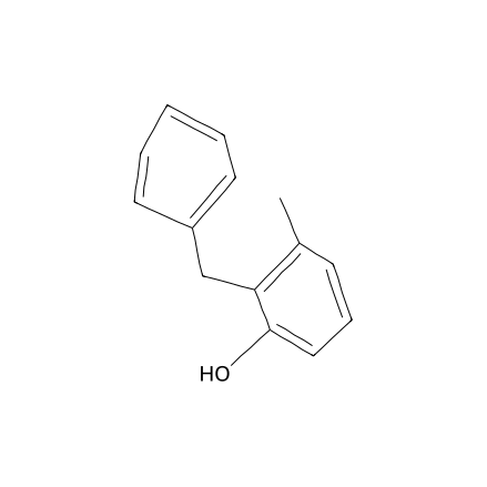 Cc1cccc(O)c1Cc1ccccc1